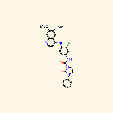 COc1cc2nccc(Nc3ccc(NC(=O)N4CCN(c5ccccc5)C4=O)cc3F)c2cc1OC